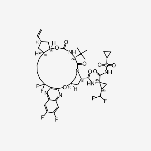 C=C[C@@H]1C[C@H]2CCCCC(F)(F)c3nc4cc(F)c(F)cc4nc3O[C@@H]3C[C@@H](C(=O)N[C@]4(C(=O)NS(=O)(=O)C5CC5)C[C@H]4C(F)F)N(C3)C(=O)[C@H](C(C)(C)C)NC(=O)O[C@@H]2C1